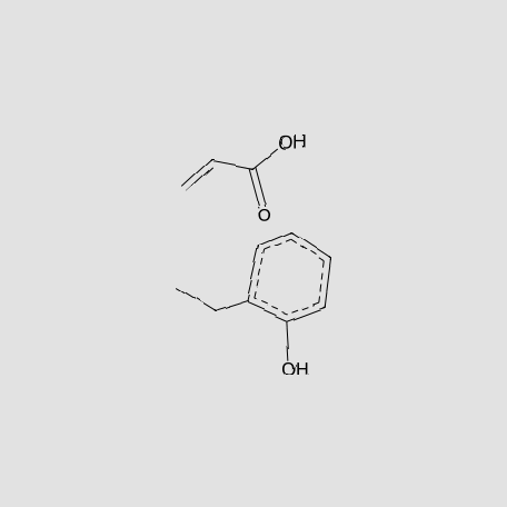 C=CC(=O)O.CCc1ccccc1O